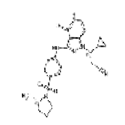 C[C@H]1CCCN1S(=O)(=O)c1ccc(Nc2nn([C@@H](CC#N)C3CC3)c3cc[nH]c(=O)c23)cc1